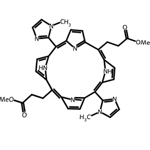 COC(=O)CCc1c2nc(c(-c3nccn3C)c3ccc([nH]3)c(CCC(=O)OC)c3nc(c(-c4nccn4C)c4ccc1[nH]4)C=C3)C=C2